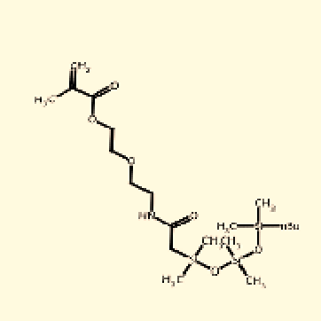 C=C(C)C(=O)OCCOCCNC(=O)C[Si](C)(C)O[Si](C)(C)O[Si](C)(C)CCCC